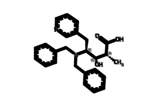 C[C@@H](C(=O)O)[C@H](O)[C@H](Cc1cccnc1)N(Cc1ccccc1)Cc1ccccc1